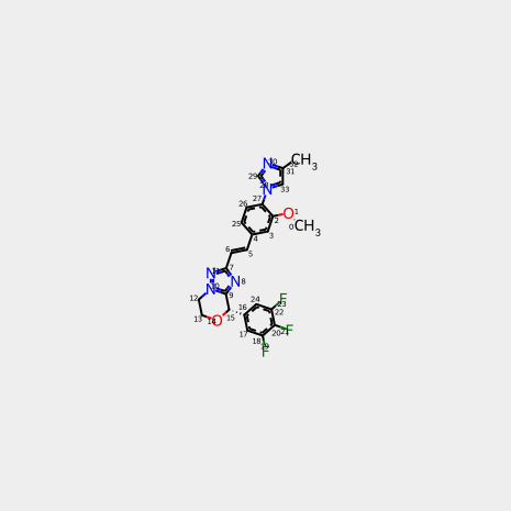 COc1cc(C=Cc2nc3n(n2)CCO[C@H]3c2cc(F)c(F)c(F)c2)ccc1-n1cnc(C)c1